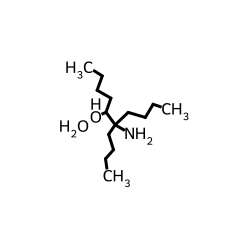 CCCCC(O)C(N)(CCCC)CCCC.O